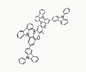 Cc1c2c(cc3c1Oc1cc(-c4ccc5c(c4)c4ccccc4n5-c4ccccc4)cc4c1B3c1cccc3c5ccccc5n-4c13)B1c3c(cc(-c4ccc5c(c4)c4ccccc4n5-c4ccccc4)cc3-n3c4ccccc4c4cccc1c43)O2